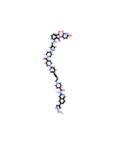 Cn1cc(-c2ccc3cnc(NC(=O)C4CCN(CCC#Cc5ccc(N6CCC(C(=O)N7CCC(n8cc(CNc9cccc%10c9C(=O)N(C9CCC(=O)NC9=O)C%10=O)cn8)CC7)CC6)nc5)CC4)cc3c2)cn1